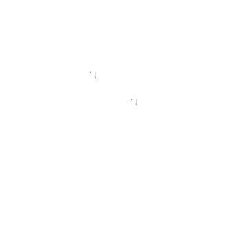 CC(C#N)c1nc(-c2ccc(F)cc2)cs1